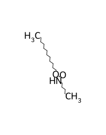 CCCCCCCCCCCCOC(=O)NCCCCC